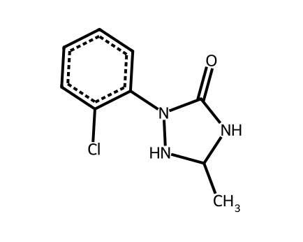 CC1NC(=O)N(c2ccccc2Cl)N1